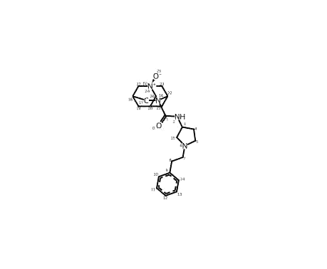 O=C(NC1CCN(CCc2ccccc2)C1)N1CC2CC3CC1C[N@+]([O-])(C3)C2